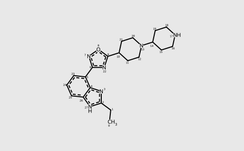 CCc1nc2c(-c3noc(C4CCN(C5CCNCC5)CC4)n3)cccc2[nH]1